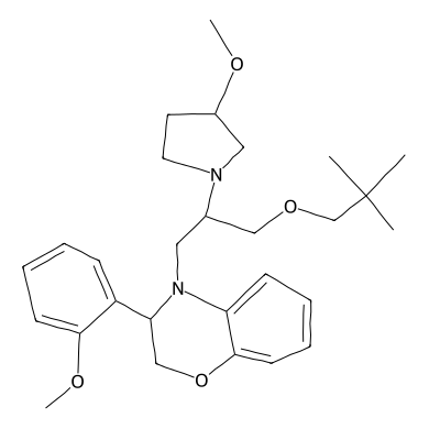 COc1ccccc1C1COc2ccccc2N1CC(COCC(C)(C)C)N1CCC(OC)C1